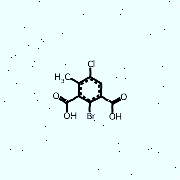 Cc1c(Cl)cc(C(=O)O)c(Br)c1C(=O)O